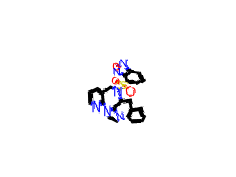 O=S(=O)(c1cccc2nonc12)N1Cc2cccnc2-n2ccnc2C1Cc1ccccc1